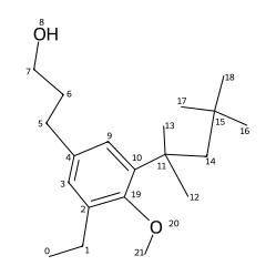 CCc1cc(CCCO)cc(C(C)(C)CC(C)(C)C)c1OC